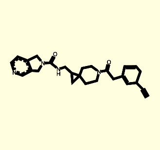 C#CC1C=C(CC(=O)N2CCC3(CC2)CC3CNC(=O)N2Cc3ccncc3C2)C=CC1